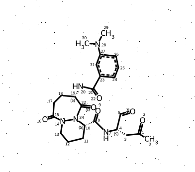 CC(=O)C[C@@H](C=O)NC(=O)[C@@H]1CCCN2C(=O)CC[C@H](NC(=O)c3cccc(N(C)C)c3)C(=O)N12